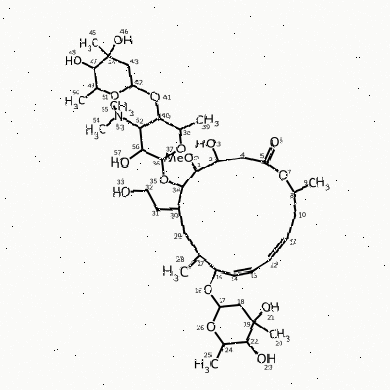 COC1C(O)CC(=O)OC(C)CC=CC=CC(OC2CC(C)(O)C(O)C(C)O2)C(C)CC(CCO)C1OC1OC(C)C(OC2CC(C)(O)C(O)C(C)O2)C(N(C)C)C1O